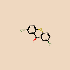 O=c1c2cc(Cl)ccc2sc2ccc(Cl)cc12